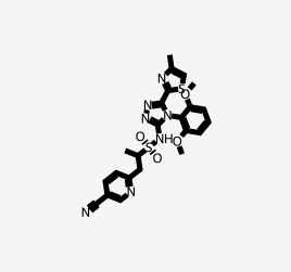 COc1cccc(OC)c1-n1c(NS(=O)(=O)C(C)Cc2ccc(C#N)cn2)nnc1-c1nc(C)cs1